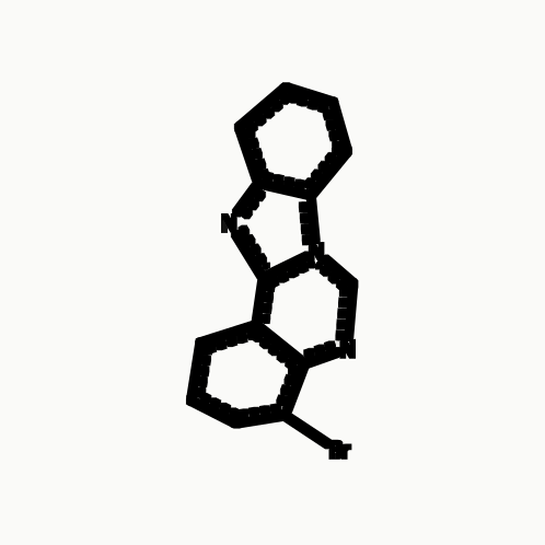 Brc1cccc2c1ncn1c3ccccc3nc21